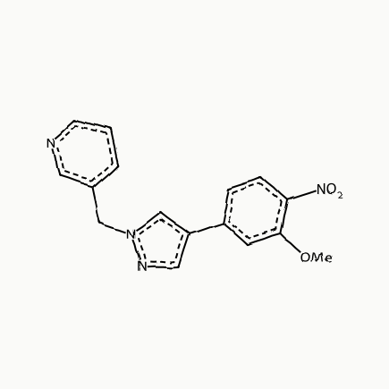 COc1cc(-c2cnn(Cc3cccnc3)c2)ccc1[N+](=O)[O-]